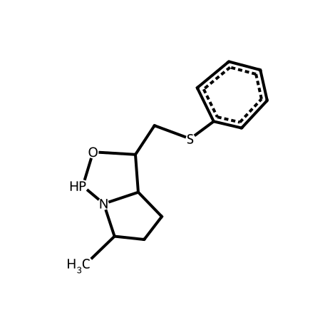 CC1CCC2C(CSc3ccccc3)OPN12